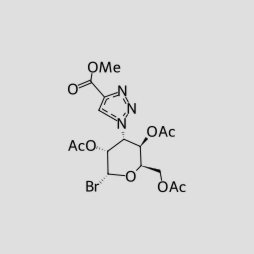 COC(=O)c1cn([C@H]2[C@@H](OC(C)=O)[C@@H](Br)O[C@H](COC(C)=O)[C@@H]2OC(C)=O)nn1